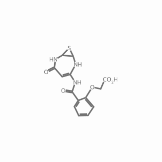 O=C(O)COc1ccccc1C(=O)NC1=CC(=O)NC2SC2N1